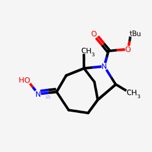 CC1C2CC/C(=N/O)CC(C)(C2)N1C(=O)OC(C)(C)C